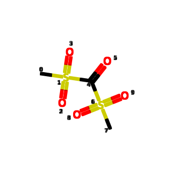 CS(=O)(=O)C(=O)S(C)(=O)=O